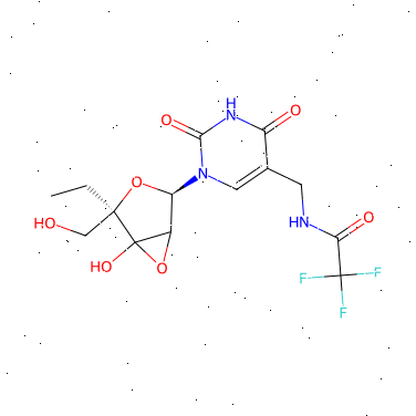 CC[C@]1(CO)O[C@@H](n2cc(CNC(=O)C(F)(F)F)c(=O)[nH]c2=O)C2OC21O